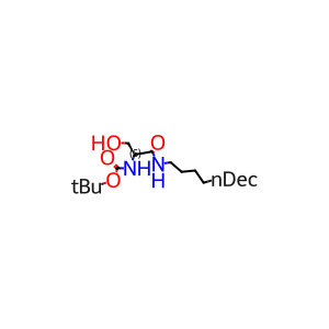 CCCCCCCCCCCCCCNC(=O)[C@H](CO)NC(=O)OC(C)(C)C